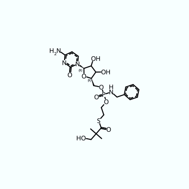 CC(C)(CO)C(=O)SCCOP(=O)(NCc1ccccc1)OC[C@H]1O[C@@H](n2ccc(N)nc2=O)C(O)C1O